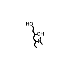 CCC(CC(O)CCO)N(C)C